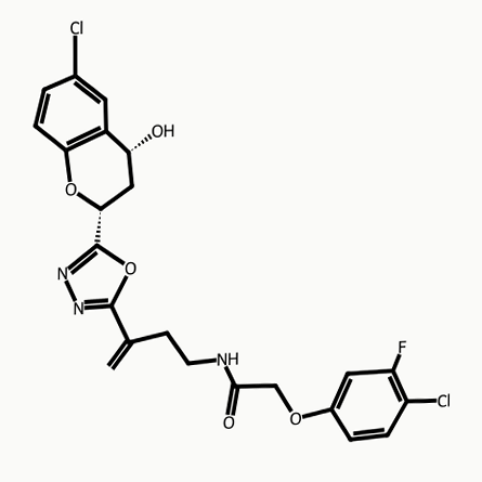 C=C(CCNC(=O)COc1ccc(Cl)c(F)c1)c1nnc([C@H]2C[C@@H](O)c3cc(Cl)ccc3O2)o1